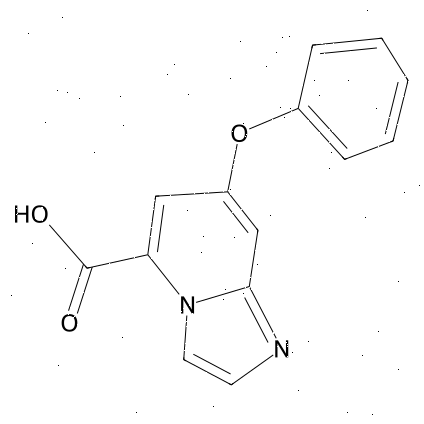 O=C(O)c1cc(Oc2ccccc2)cc2nccn12